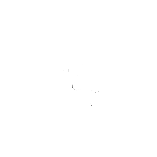 C[C@@H]1C[C@H](C[C@H](NC(=O)OC(C)(C)C)C(=O)O)C[C@@H]1C